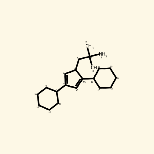 CC(C)(N)C[C]1C=C(C2CCCCC2)C=C1C1CCCCC1